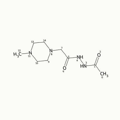 CC(=O)NNC(=O)CN1CCN(C)CC1